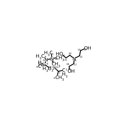 CC(C)N.CN([SiH](C)C)[Si](C)(C)C.OCCN(CCO)CCO